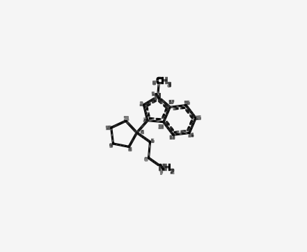 Cn1cc(C2(CCN)CCCC2)c2ccccc21